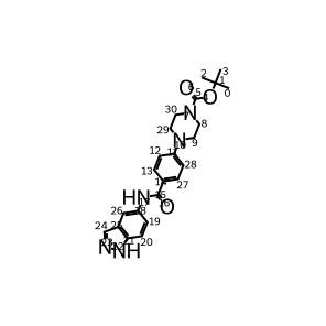 CC(C)(C)OC(=O)N1CCN(c2ccc(C(=O)Nc3ccc4[nH]ncc4c3)cc2)CC1